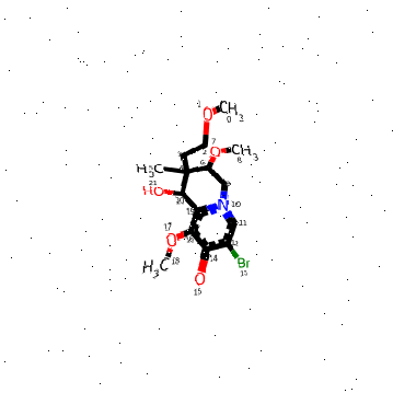 COCCC1(C)C(OC)Cn2cc(Br)c(=O)c(OC)c2C1O